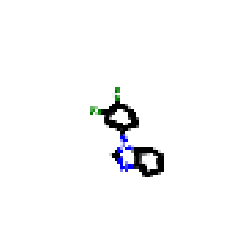 Fc1ccc(-n2cnc3ccccc32)cc1F